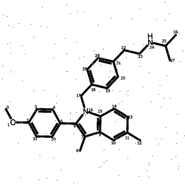 COc1ccc(-c2c(C)c3cc(C)ccc3n2Cc2ccc(CCNC(C)C)cc2)cc1